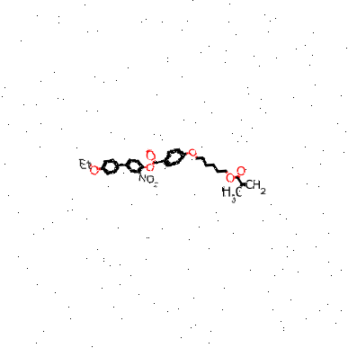 C=C(C)C(=O)OCCCCCCOc1ccc(C(=O)Oc2ccc(-c3ccc(OCC)cc3)cc2[N+](=O)[O-])cc1